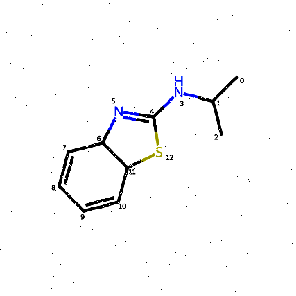 CC(C)NC1=NC2C=CC=CC2S1